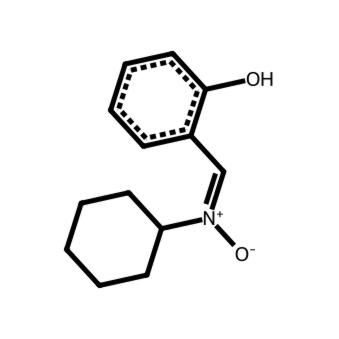 [O-]/[N+](=C/c1ccccc1O)C1CCCCC1